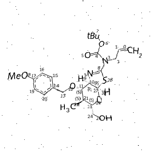 C=CCN(C(=O)OC(C)(C)C)C1=N[C@@H]2[C@@H](OCc3ccc(OC)cc3)[C@H](C)[C@@H](CO)O[C@@H]2S1